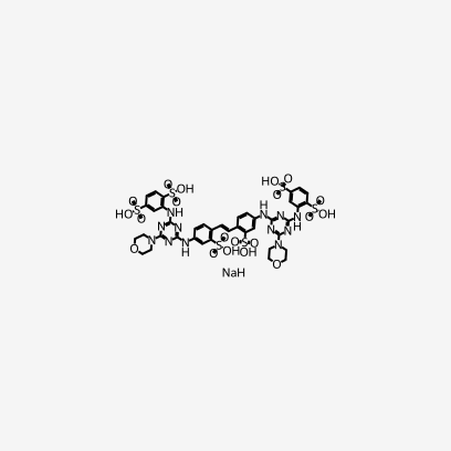 O=S(=O)(O)c1ccc(S(=O)(=O)O)c(Nc2nc(Nc3ccc(/C=C/c4ccc(Nc5nc(Nc6cc(S(=O)(=O)O)ccc6S(=O)(=O)O)nc(N6CCOCC6)n5)cc4S(=O)(=O)O)c(S(=O)(=O)O)c3)nc(N3CCOCC3)n2)c1.[NaH]